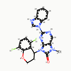 CCn1c(=O)n(C2CCOc3c(F)ccc(F)c32)c2nc(-n3cnc4ccccc43)ncc21